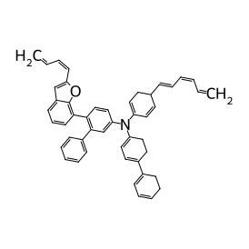 C=C/C=C\C=C\C1C=CC(N(C2=CC=C(C3=CC=CCC3)CC2)c2ccc(-c3cccc4cc(/C=C\C=C)oc34)c(-c3ccccc3)c2)=CC1